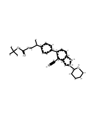 CC(CNC(=O)OC(C)(C)C)c1ccc(-c2ccc3nn(C4CCCCO4)cc3c2C#N)cc1